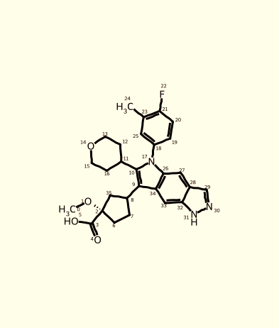 CO[C@@]1(C(=O)O)CCC(c2c(C3CCOCC3)n(-c3ccc(F)c(C)c3)c3cc4cn[nH]c4cc23)C1